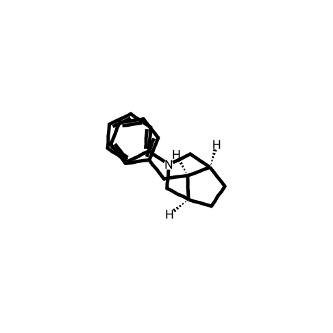 c1ccc(C[C@H]2[C@@H]3CC[C@H]2CN(c2ccccc2)C3)cc1